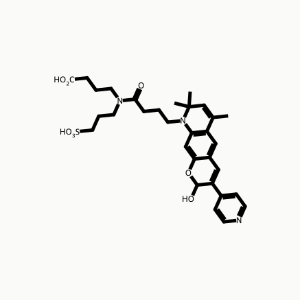 CC1=CC(C)(C)N(CCCC(=O)N(CCCC(=O)O)CCCS(=O)(=O)O)c2cc3c(cc21)C=C(c1ccncc1)C(O)O3